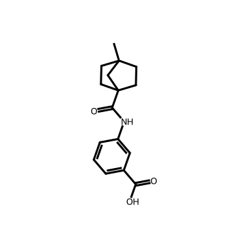 CC12CCC(C(=O)Nc3cccc(C(=O)O)c3)(CC1)C2